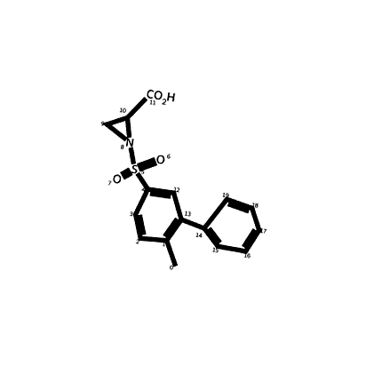 Cc1ccc(S(=O)(=O)N2CC2C(=O)O)cc1-c1ccccc1